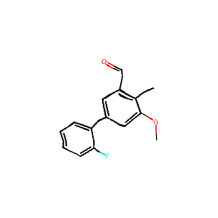 COc1cc(-c2ccccc2F)cc(C=O)c1C